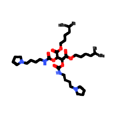 CCCCC(CC)CCCCOC(=O)C(OC(=O)NCCCCN1CCCC1)C(OC(=O)NCCCCN1CCCC1)C(=O)OCCCCC(CC)CCCC